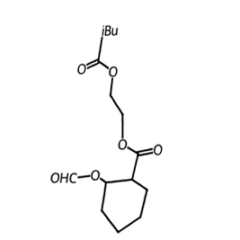 CCC(C)C(=O)OCCOC(=O)C1CCCCC1OC=O